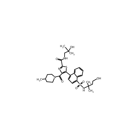 CC1CCN(C(=O)c2nc(C(=O)NCC(C)(C)O)sc2-c2ccc(S(=O)(=O)NC(C)(C)CCO)c3ccccc23)CC1